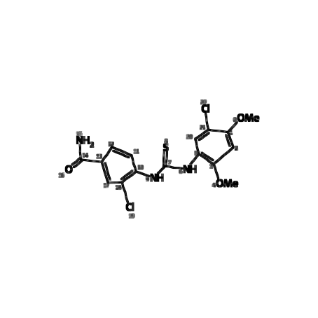 COc1cc(OC)c(NC(=S)Nc2ccc(C(N)=O)cc2Cl)cc1Cl